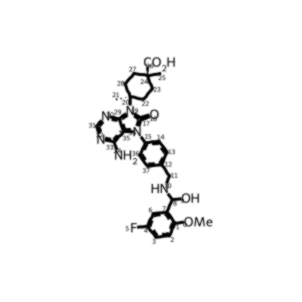 COc1ccc(F)cc1C(O)NCc1ccc(-n2c(=O)n([C@]3(C)CC[C@](C)(C(=O)O)CC3)c3ncnc(N)c32)cc1